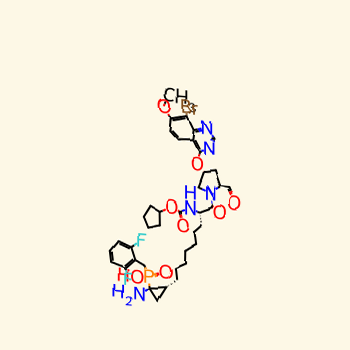 COc1ccc2c(OC3C[C@@H](C=O)N(C(=O)[C@H](CCCCCCC[C@@H]4C[C@]4(N)P(=O)(O)Cc4c(F)cccc4F)NC(=O)OC4CCCC4)C3)ncnc2c1Br